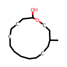 CC1CCCCCCCCCCCC(O)OCC1